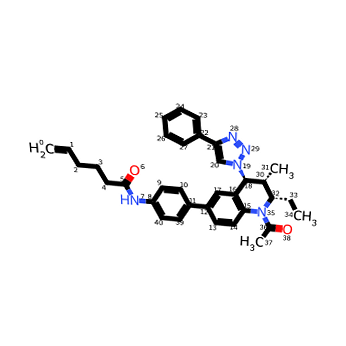 C=CCCCC(=O)Nc1ccc(-c2ccc3c(c2)[C@@H](n2cc(-c4ccccc4)nn2)[C@H](C)[C@H](CC)N3C(C)=O)cc1